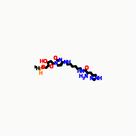 [3H]POCC1OC(n2ccc(NCCCCCCNC(=O)C(N)Cc3c[nH]cn3)nc2=O)CC1O